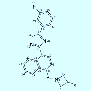 CC1CN(Cc2ccc(C3=NCC(c4cccc(F)c4)=N3)c3ccccc23)C1